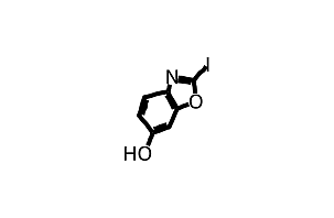 Oc1ccc2nc(I)oc2c1